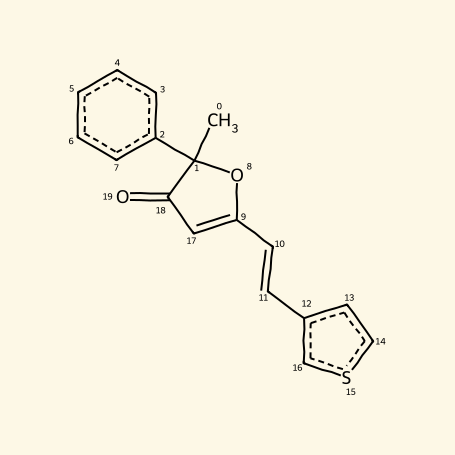 CC1(c2ccccc2)OC(C=Cc2ccsc2)=CC1=O